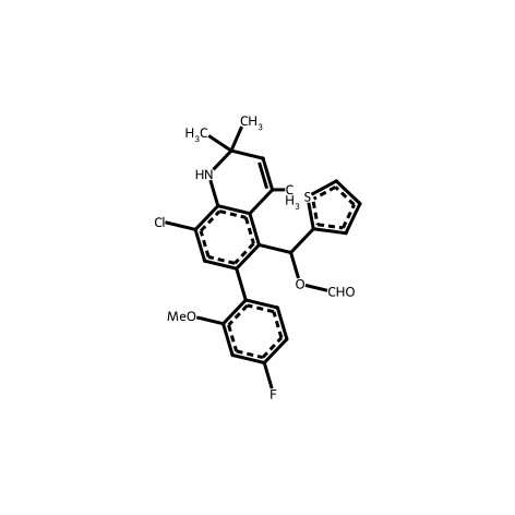 COc1cc(F)ccc1-c1cc(Cl)c2c(c1C(OC=O)c1cccs1)C(C)=CC(C)(C)N2